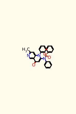 Cc1cc2c(cn1)c(=O)cc(N(c1ccccc1)S(=O)(=O)c1ccccc1)n2-c1ccccc1